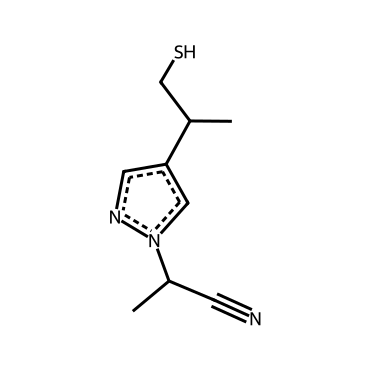 CC(CS)c1cnn(C(C)C#N)c1